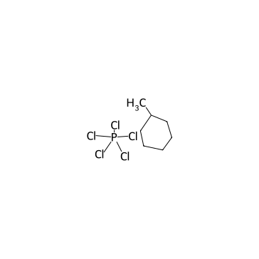 CC1CCCCC1.ClP(Cl)(Cl)(Cl)Cl